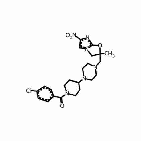 CC1(CN2CCN(C3CCN(C(=O)c4ccc(Cl)cc4)CC3)CC2)Cn2cc([N+](=O)[O-])nc2O1